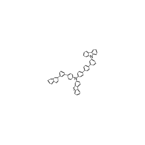 c1cc(-c2ccc(N(c3ccc(-c4ccc(-c5cccc(-n6c7ccccc7c7ccccc76)c5)cc4)cc3)c3ccc4c(c3)sc3ccccc34)cc2)cc(-c2ccc3ccccc3c2)c1